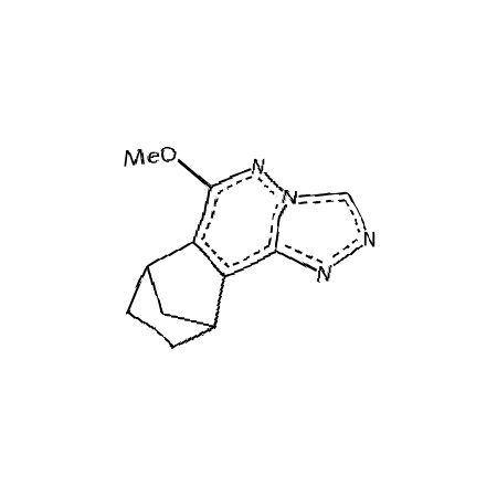 COc1nn2cnnc2c2c1C1CCC2C1